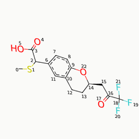 CSC(C(=O)O)c1ccc2c(c1)CC[C@H](CC(=O)C(F)(F)F)O2